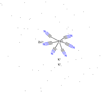 N#[C][Fe-4]([C]#N)([C]#N)([C]#N)([C]#N)[C]#N.[K+].[K+].[Zn+2]